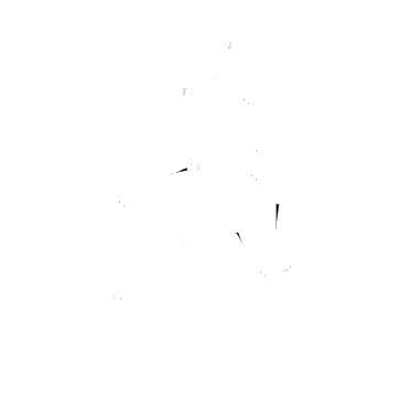 CC(NC(=O)CNC(=N)N)[C@H]1C(=O)N2C(C(=O)O)=C(S[C@@H]3CN[C@H](C(=O)N4CC[C@@H](N)C4)C3)[C@H](C)[C@H]12